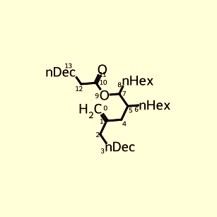 C=C(CCCCCCCCCCC)CC(CCCCCC)C(CCCCCC)OC(=O)CCCCCCCCCCC